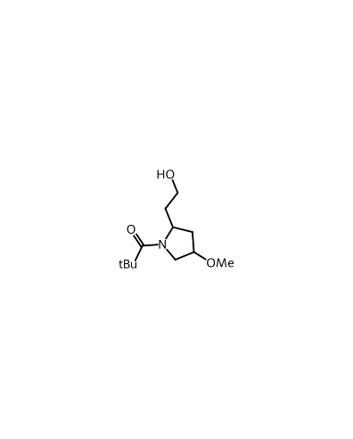 COC1CC(CCO)N(C(=O)C(C)(C)C)C1